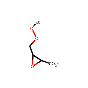 CCOOCC1OC1C(=O)O